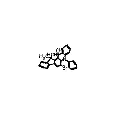 CC1(C)c2ccccc2-c2cc(Br)c3c(c21)C(C)(C)c1ccccc1N3c1ccccc1